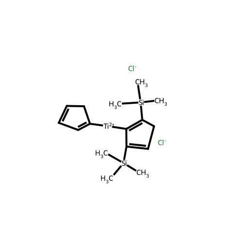 C[Si](C)(C)C1=CCC([Si](C)(C)C)=[C]1[Ti+2][C]1=CC=CC1.[Cl-].[Cl-]